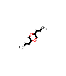 CCCC1COC(CCC)CO1